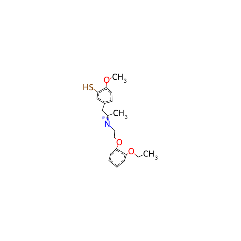 CCOc1ccccc1OCC/N=C(\C)Cc1ccc(OC)c(S)c1